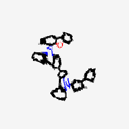 C1=CC(n2c3ccccc3c3cc(-c4ccc5c(c4)c4c(n5-c5cccc(-c6ccccc6)c5)C=CCC4)ccc32)C2Oc3ccccc3C2=C1